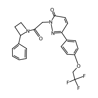 O=C(Cn1nc(-c2ccc(OCC(F)(F)F)cc2)ccc1=O)N1CCC1c1ccccc1